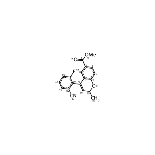 COC(=O)c1ccc2c(c1)C(c1c(F)cccc1C#N)=CC(C)O2